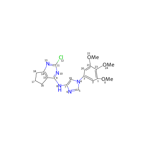 COc1cc(-n2cnc(Nc3nc(Cl)nc4c3CCC4)c2)cc(OC)c1OC